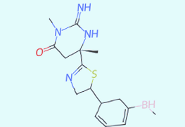 CBC1=CC=CC(C2CN=C([C@]3(C)CC(=O)N(C)C(=N)N3)S2)C1